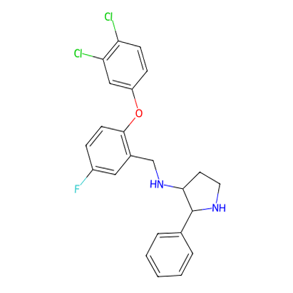 Fc1ccc(Oc2ccc(Cl)c(Cl)c2)c(CNC2CCNC2c2ccccc2)c1